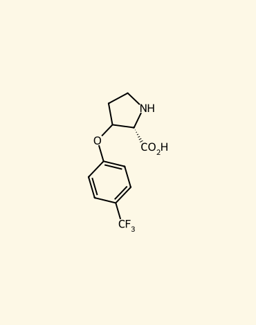 O=C(O)[C@H]1NCCC1Oc1ccc(C(F)(F)F)cc1